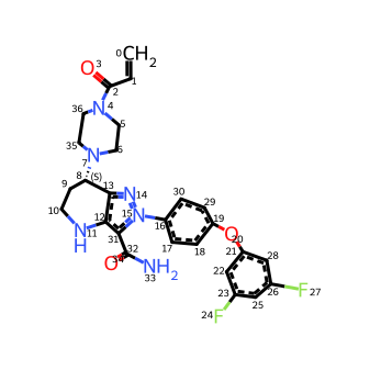 C=CC(=O)N1CCN([C@H]2CCNc3c2nn(-c2ccc(Oc4cc(F)cc(F)c4)cc2)c3C(N)=O)CC1